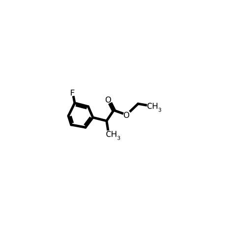 CCOC(=O)C(C)c1cccc(F)c1